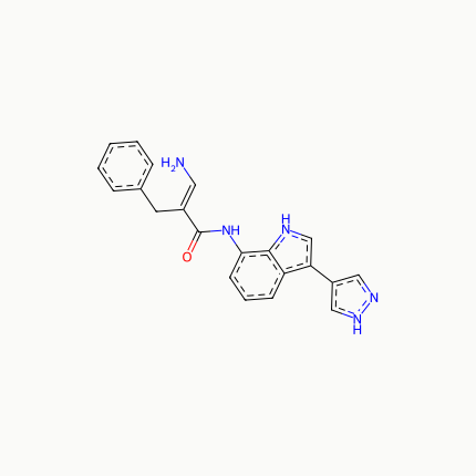 NC=C(Cc1ccccc1)C(=O)Nc1cccc2c(-c3cn[nH]c3)c[nH]c12